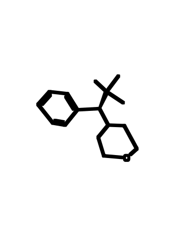 CC(C)(C)[C@H](c1ccccc1)C1CCOCC1